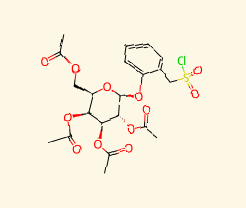 CC(=O)OC[C@H]1O[C@@H](Oc2ccccc2CS(=O)(=O)Cl)[C@H](OC(C)=O)[C@@H](OC(C)=O)[C@H]1OC(C)=O